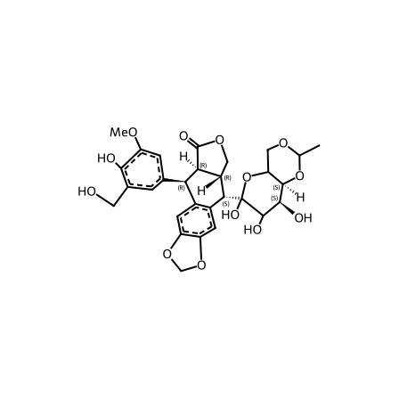 COc1cc([C@@H]2c3cc4c(cc3[C@@H](C3(O)OC5COC(C)O[C@H]5[C@@H](O)C3O)[C@H]3COC(=O)[C@H]23)OCO4)cc(CO)c1O